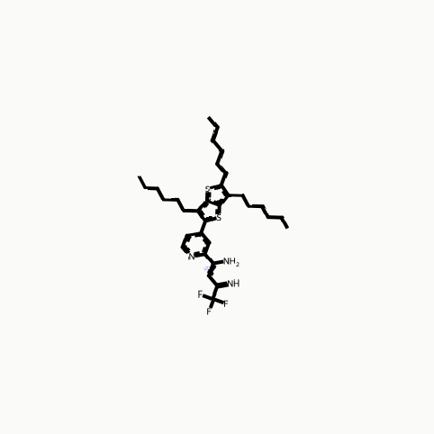 CCCCCCc1sc2c(CCCCCC)c(-c3ccnc(/C(N)=C/C(=N)C(F)(F)F)c3)sc2c1CCCCCC